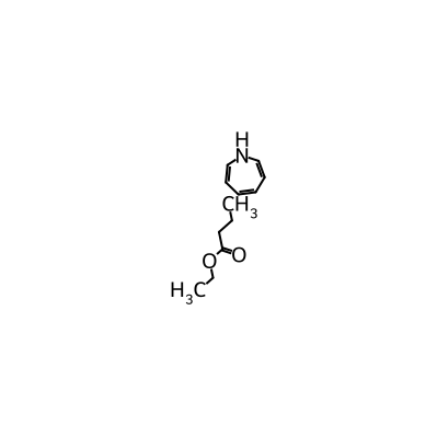 C1=CC=CNC=C1.CCCC(=O)OCC